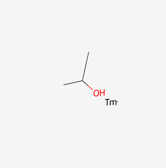 CC(C)O.[Tm]